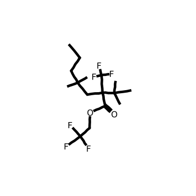 CCCC(C)(C)CC(C(=O)OCC(F)(F)F)(C(C)(C)C)C(F)(F)F